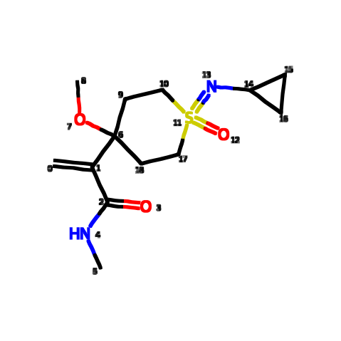 C=C(C(=O)NC)C1(OC)CCS(=O)(=NC2CC2)CC1